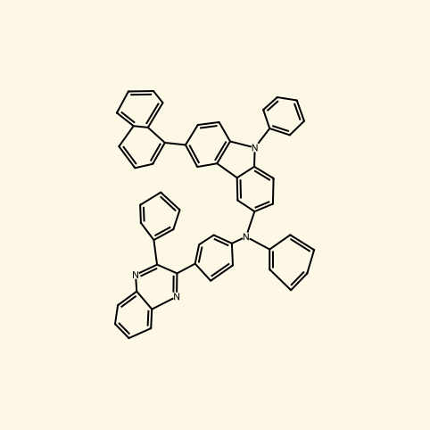 c1ccc(-c2nc3ccccc3nc2-c2ccc(N(c3ccccc3)c3ccc4c(c3)c3cc(-c5cccc6ccccc56)ccc3n4-c3ccccc3)cc2)cc1